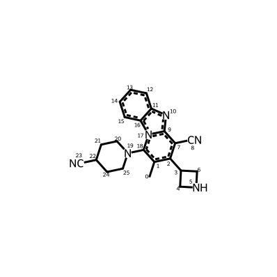 Cc1c(C2CNC2)c(C#N)c2nc3ccccc3n2c1N1CCC(C#N)CC1